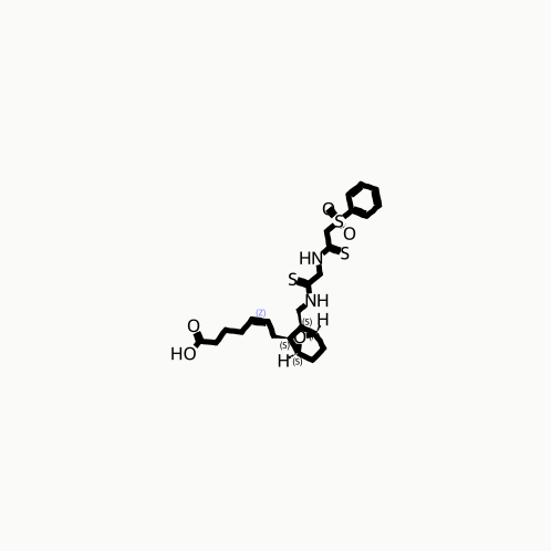 O=C(O)CCC/C=C\C[C@H]1[C@@H](CNC(=S)CNC(=S)CS(=O)(=O)c2ccccc2)[C@H]2CC[C@@H]1O2